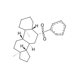 C[C@@]12CCC[C@H]1[C@@H]1C[C@@H](S(=O)(=O)c3ccccc3)[C@H]3CCCC[C@]3(C)[C@H]1CC2